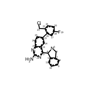 Nc1nc(C2[N]Cc3ccccc32)c2cc(-c3cc(F)ccc3CCl)ccc2n1